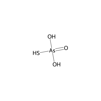 O=[As](O)(O)S